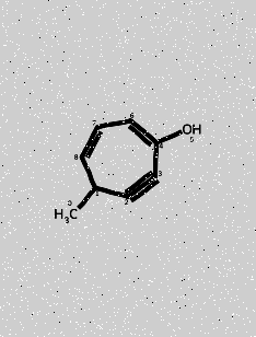 CC1C#CC(O)=CC=C1